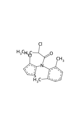 COc1ccsc1N(C(=O)C(C)Cl)c1c(C)cccc1C